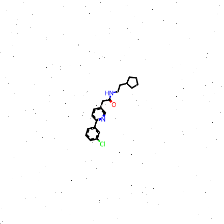 O=C(Cc1ccc(-c2cccc(Cl)c2)nc1)NCCC1CCCC1